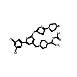 CC(OC(N)=O)C1CCN(Cc2cc(Oc3ccc(N4CCNCC4)nc3)nc(-c3cc(Cl)cc(Cl)c3)c2)CC1